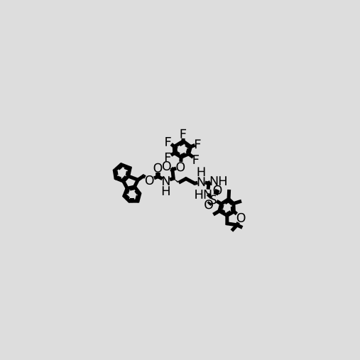 Cc1c(C)c(S(=O)(=O)NC(=N)NCCC[C@H](NC(=O)OCC2c3ccccc3-c3ccccc32)C(=O)Oc2c(F)c(F)c(F)c(F)c2F)c(C)c2c1OC(C)(C)C2